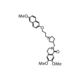 COc1ccc2cc(OCCCN3CCC(CN4CCc5cc(OC)c(OC)cc5C4=O)C3)ccc2c1